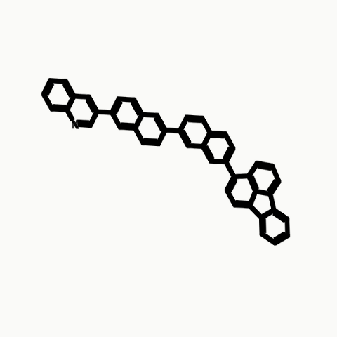 c1ccc2c(c1)-c1cccc3c(-c4ccc5ccc(-c6ccc7cc(-c8cnc9ccccc9c8)ccc7c6)cc5c4)ccc-2c13